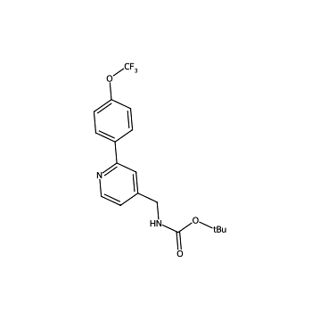 CC(C)(C)OC(=O)NCc1ccnc(-c2ccc(OC(F)(F)F)cc2)c1